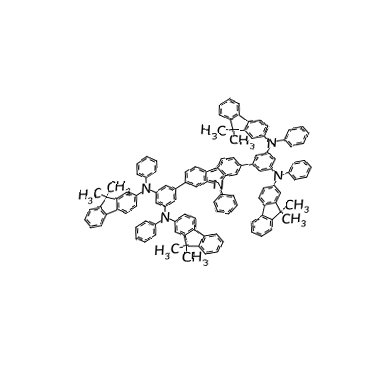 CC1(C)c2ccccc2-c2ccc(N(c3ccccc3)c3cc(-c4ccc5c6ccc(-c7cc(N(c8ccccc8)c8ccc9c(c8)C(C)(C)c8ccccc8-9)cc(N(c8ccccc8)c8ccc9c(c8)C(C)(C)c8ccccc8-9)c7)cc6n(-c6ccccc6)c5c4)cc(N(c4ccccc4)c4ccc5c(c4)C(C)(C)c4ccccc4-5)c3)cc21